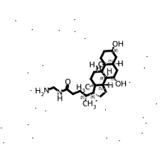 C[C@H](CCC(=O)NCN)[C@H]1CC[C@H]2[C@@H]3[C@@H](O)C[C@@H]4C[C@H](O)CC[C@]4(C)[C@H]3CC[C@]12C